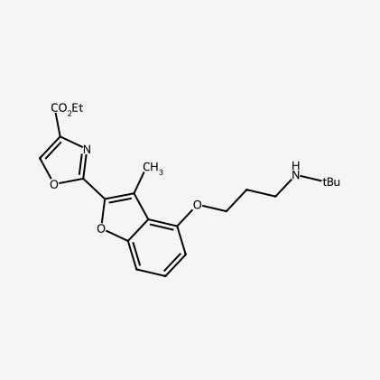 CCOC(=O)c1coc(-c2oc3cccc(OCCCNC(C)(C)C)c3c2C)n1